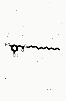 CCCCCCCCCCCCCOC(=O)Cc1cc(O)cc(O)c1